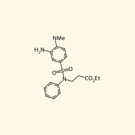 CCOC(=O)CCN(c1ccccc1)S(=O)(=O)c1ccc(NC)c(N)c1